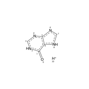 O=c1[nH]cnc2nc[nH]c12.[H+]